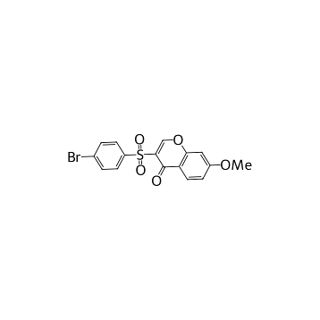 COc1ccc2c(=O)c(S(=O)(=O)c3ccc(Br)cc3)coc2c1